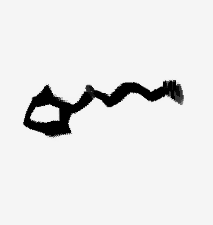 CNCCCOC1=CCCC=C1